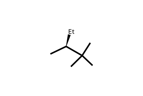 CC[C@H](C)C(C)(C)C